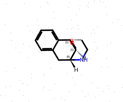 c1ccc2c(c1)C[C@H]1NCC[C@@]23OOCC[C@@H]13